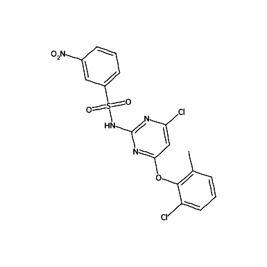 Cc1cccc(Cl)c1Oc1cc(Cl)nc(NS(=O)(=O)c2cccc([N+](=O)[O-])c2)n1